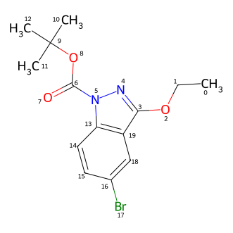 CCOc1nn(C(=O)OC(C)(C)C)c2ccc(Br)cc12